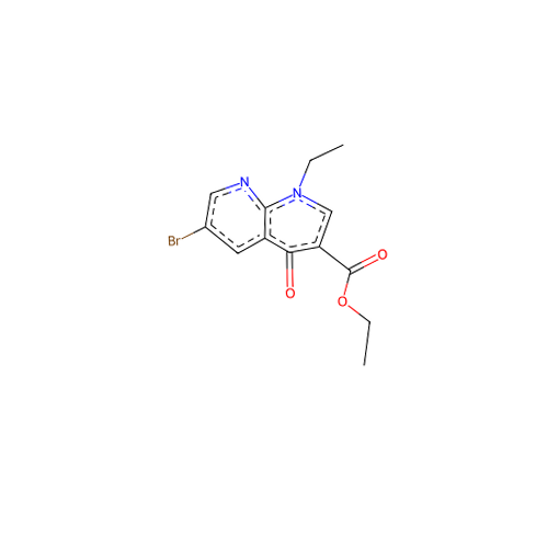 CCOC(=O)c1cn(CC)c2ncc(Br)cc2c1=O